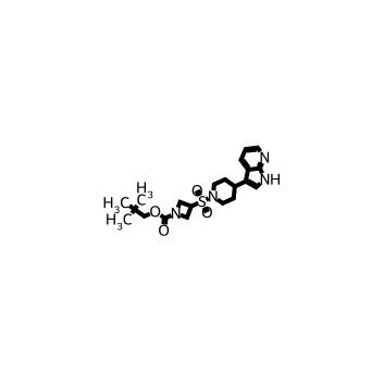 CC(C)(C)COC(=O)N1CC(S(=O)(=O)N2CCC(c3c[nH]c4ncccc34)CC2)C1